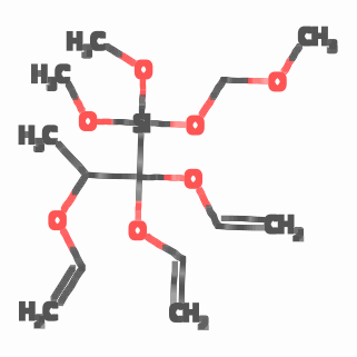 C=COC(C)C(OC=C)(OC=C)[Si](OC)(OC)OCOC